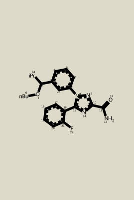 CCCCOC(c1cccc(-n2nc(C(N)=O)nc2-c2ccccc2F)c1)C(C)C